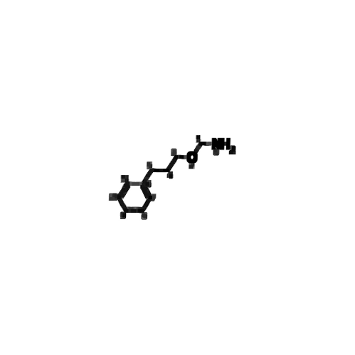 NCOCCCc1ccccc1